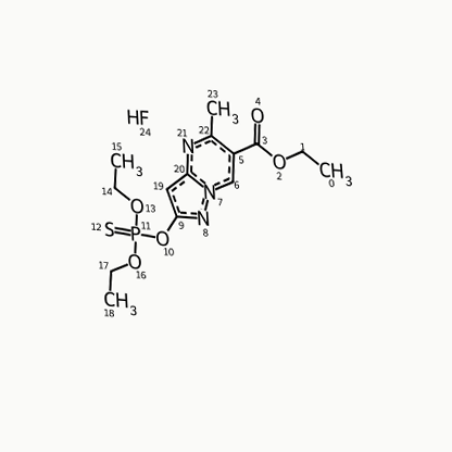 CCOC(=O)c1cn2nc(OP(=S)(OCC)OCC)cc2nc1C.F